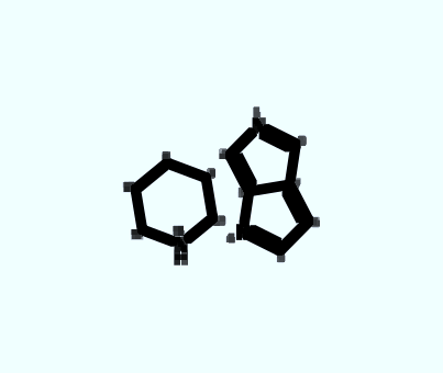 C1=NC=C2N=CC=C12.C1CCNCC1